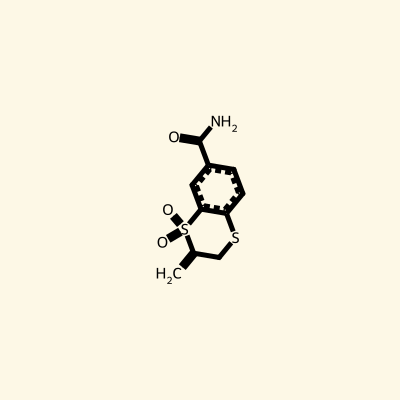 C=C1CSc2ccc(C(N)=O)cc2S1(=O)=O